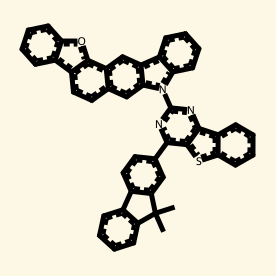 CC1(C)c2ccccc2-c2ccc(-c3nc(-n4c5ccccc5c5cc6c(ccc7c8ccccc8oc67)cc54)nc4c3sc3ccccc34)cc21